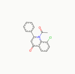 CC(=O)n1c(-c2ccccc2)cc(=O)c2cccc(Cl)c21